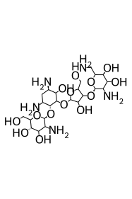 NCC1O[C@H](OC2C(CO)OC(OC3C(O)[C@H](N)CC(N)[C@H]3O[C@@H]3OC(CO)[C@@H](O)C(O)C3N)C2O)C(N)C(O)[C@@H]1O